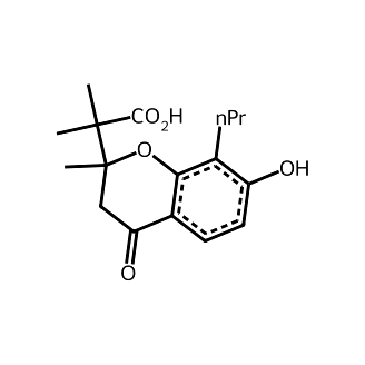 CCCc1c(O)ccc2c1OC(C)(C(C)(C)C(=O)O)CC2=O